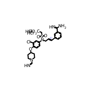 Cl.Cl.N=CN1CCC(Oc2ccc(N(C/C=C/c3cccc(C(=N)N)c3)S(=O)(=O)CC(=O)O)cc2Cl)CC1